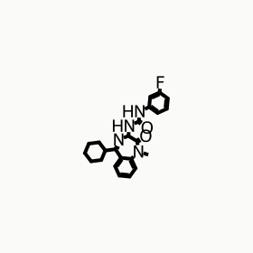 CN1C(=O)C(NC(=O)Nc2cccc(F)c2)N=C(C2CCCCC2)c2ccccc21